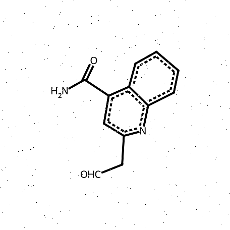 NC(=O)c1cc(CC=O)nc2ccccc12